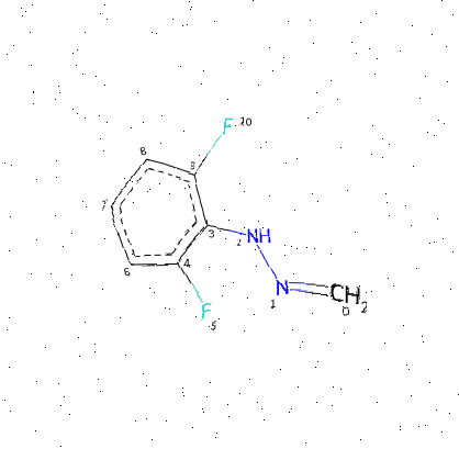 C=NNc1c(F)cccc1F